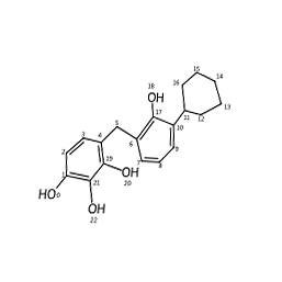 Oc1ccc(Cc2cccc(C3CCCCC3)c2O)c(O)c1O